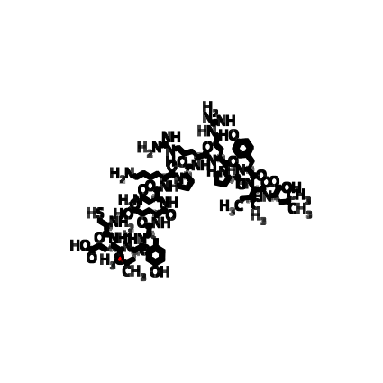 CC[C@H](C)[C@H](NC(=O)[C@H](Cc1ccc(O)cc1)NC(=O)[C@@H]1CCCN1C(=O)[C@H](CCCNC(=N)N)NC(=O)[C@H](CCCNC(=N)N)NC(=O)[C@@H]1CCCN1C(=O)[C@H](CCCCN)NC(=O)[C@H](CC(N)=O)NC(=O)[C@H](CCC(=O)O)NC(=O)[C@H](Cc1ccc(O)cc1)NC(=O)[C@H](CC(C)C)NC(=O)[C@H](CCC(=O)O)NC(=O)[C@@H](N)CS)C(=O)N[C@@H](CC(C)C)C(=O)O